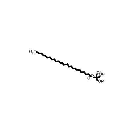 CCCCCCCCCCCCCCCCCCCCCCCCCCC(=O)OCC(CO)(CO)CO